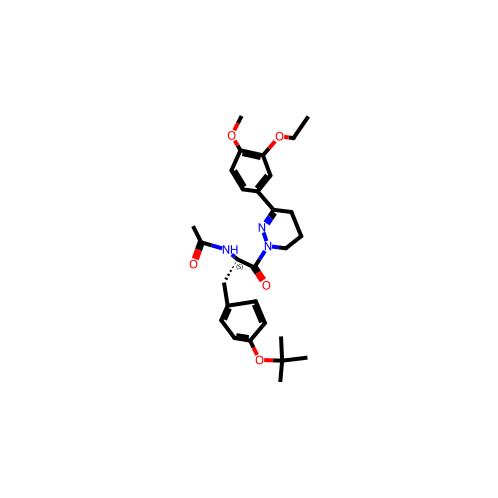 CCOc1cc(C2=NN(C(=O)[C@H](Cc3ccc(OC(C)(C)C)cc3)NC(C)=O)CCC2)ccc1OC